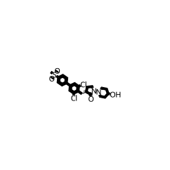 CS(=O)(=O)c1ccc(-c2cc(Cl)c(C[C@@H]3CCN(N4CCC(O)CC4)C3=O)c(Cl)c2)cc1